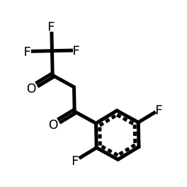 O=C(CC(=O)C(F)(F)F)c1cc(F)ccc1F